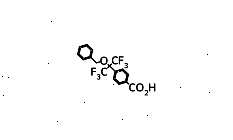 O=C(O)c1ccc(C(OCc2ccccc2)(C(F)(F)F)C(F)(F)F)cc1